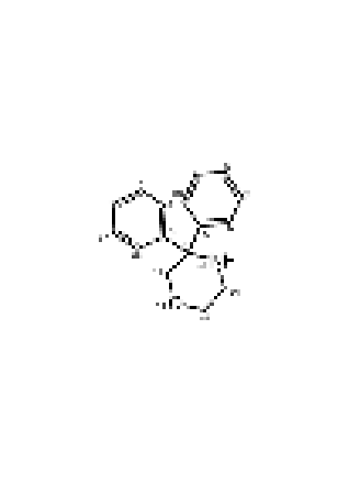 c1ccc(C2(c3ccccc3)COCCN2)cc1